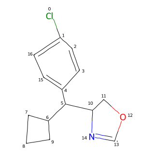 Clc1ccc(C(C2CCC2)C2CO[C]=N2)cc1